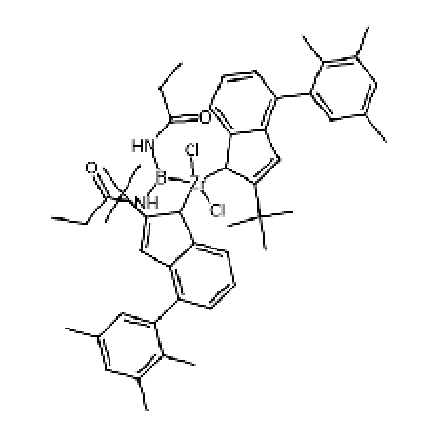 CCC(=O)N[B](NC(=O)CC)[Zr]([Cl])([Cl])([CH]1C(C(C)(C)C)=Cc2c(-c3cc(C)cc(C)c3C)cccc21)[CH]1C(C(C)(C)C)=Cc2c(-c3cc(C)cc(C)c3C)cccc21